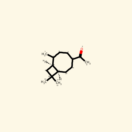 CC(=O)C1CCC(C)[C@@H]2CC(C)(C)[C@@H]2CC1